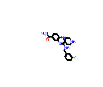 NC(=O)c1ccc2c(c1)N=C(NCc1cccc(Cl)c1)C1(CCNCC1)N2